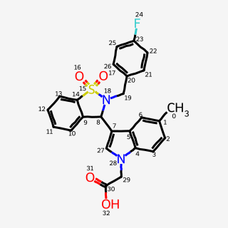 Cc1ccc2c(c1)c(C1c3ccccc3S(=O)(=O)N1Cc1ccc(F)cc1)cn2CC(=O)O